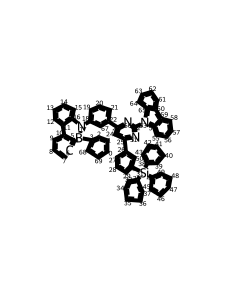 c1ccc(B2c3ccccc3-c3ccccc3N2c2cccc(-c3cc(-c4cccc([Si](c5ccccc5)(c5ccccc5)c5ccccc5)c4)nc(-n4c5ccccc5c5ccccc54)n3)c2)cc1